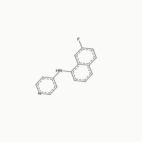 Fc1ccc2cccc(Nc3ccncc3)c2c1